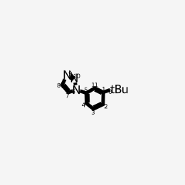 CC(C)(C)c1cccc(-n2c[c]nn2)c1